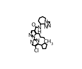 CCCCc1c(C(=O)NC2CCCCn3cnnc32)cnn1-c1ncc(Cl)c(C2CCCC2)n1